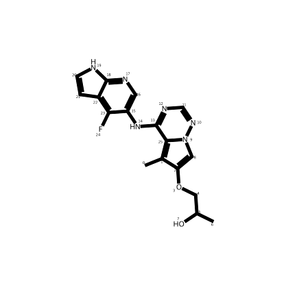 Cc1c(OCC(C)O)cn2ncnc(Nc3cnc4[nH]ccc4c3F)c12